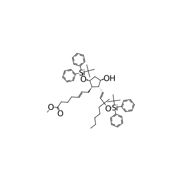 CCCCCC(C)(C=C[C@@H]1[C@@H](CC=CCCCC(=O)OC)[C@@H](O[Si](c2ccccc2)(c2ccccc2)C(C)(C)C)C[C@H]1O)O[Si](c1ccccc1)(c1ccccc1)C(C)(C)C